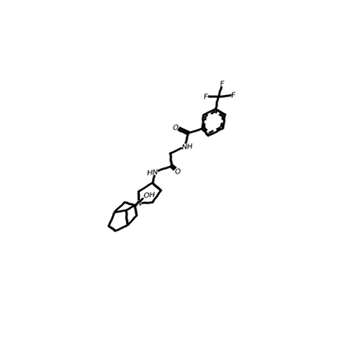 O=C(CNC(=O)c1cccc(C(F)(F)F)c1)NC1CCN(C2C3CCC2CC(O)C3)C1